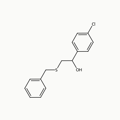 OC(CSCc1ccccc1)c1ccc(Cl)cc1